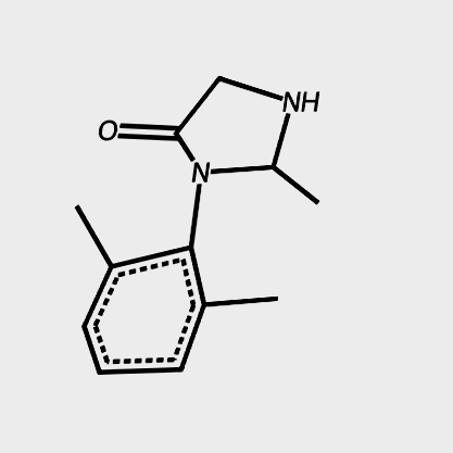 Cc1cccc(C)c1N1C(=O)CNC1C